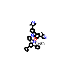 Cc1cnccc1-c1ccc2c(c1)c1cc(-c3ccncc3C)ccc1n2-c1cccc(C)c1C(=O)N(C=O)c1ccc(-c2ccccc2)cc1-c1ccccc1